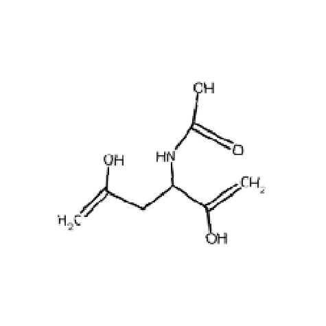 C=C(O)CC(NC(=O)O)C(=C)O